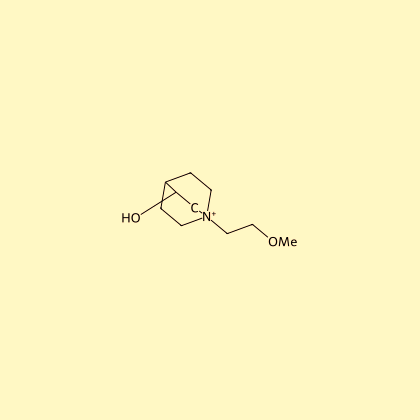 COCC[N+]12CCC(CC1)C(O)C2